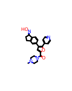 CN1CCN(C(=O)c2cc(-c3ccc4c(c3)CCC4=NO)c(-c3ccncc3)o2)CC1